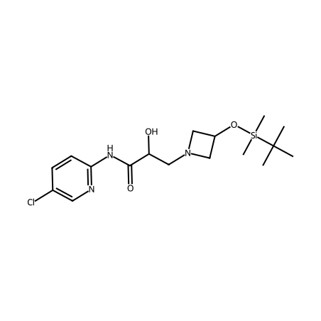 CC(C)(C)[Si](C)(C)OC1CN(CC(O)C(=O)Nc2ccc(Cl)cn2)C1